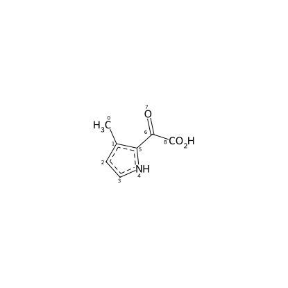 Cc1cc[nH]c1C(=O)C(=O)O